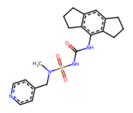 CN(Cc1ccncc1)S(=O)(=O)NC(=O)Nc1c2c(cc3c1CCC3)CCC2